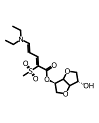 CCN(/C=C/C=C(/C(=O)O[C@@H]1COC2C1OC[C@@H]2O)S(C)(=O)=O)CC